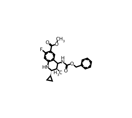 COC(=O)c1cc2c(cc1F)N[C@@H](C1CC1)[C@H](C)C2NC(=O)OCc1ccccc1